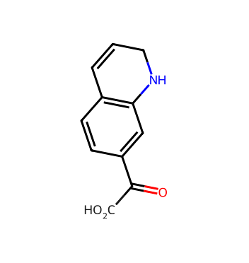 O=C(O)C(=O)c1ccc2c(c1)NCC=C2